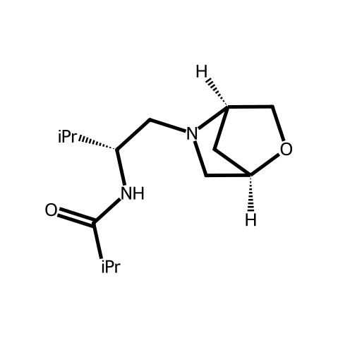 CC(C)C(=O)N[C@@H](CN1C[C@H]2C[C@@H]1CO2)C(C)C